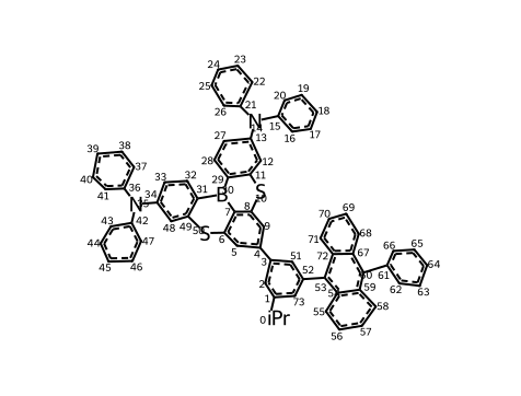 CC(C)c1cc(-c2cc3c4c(c2)Sc2cc(N(c5ccccc5)c5ccccc5)ccc2B4c2ccc(N(c4ccccc4)c4ccccc4)cc2S3)cc(-c2c3ccccc3c(-c3ccccc3)c3ccccc23)c1